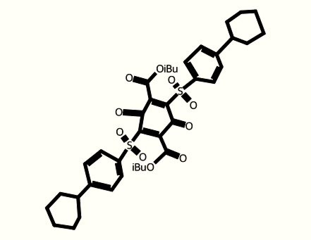 CC(C)COC(=O)C1=C(S(=O)(=O)c2ccc(C3CCCCC3)cc2)C(=O)C(C(=O)OCC(C)C)=C(S(=O)(=O)c2ccc(C3CCCCC3)cc2)C1=O